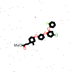 COC(=O)CCc1ccc(Oc2cccc(Oc3ccc(Cl)cc3Oc3ccccc3F)c2)cc1C